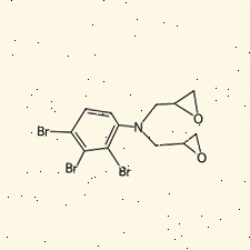 Brc1ccc(N(CC2CO2)CC2CO2)c(Br)c1Br